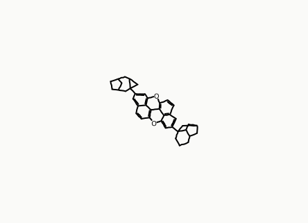 c1cc2cc(C34CC5CCC(C5)CC3C4)cc3oc4ccc5cc(C67CCCC8CC(CC86)C7)cc6oc1c(c23)-c4c56